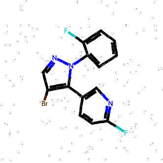 Fc1ccc(-c2c(Br)[c]nn2-c2ccccc2F)cn1